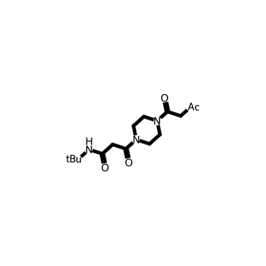 CC(=O)CC(=O)N1CCN(C(=O)CC(=O)NC(C)(C)C)CC1